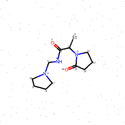 CCC(C(=O)NCN1CCCC1)N1CCCC1=O